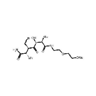 CCC[C@H](C(N)=O)[C@@H](CC(C)C)C(=O)N(O)[C@H](C(=O)NCCOCCOC)C(C)(C)C